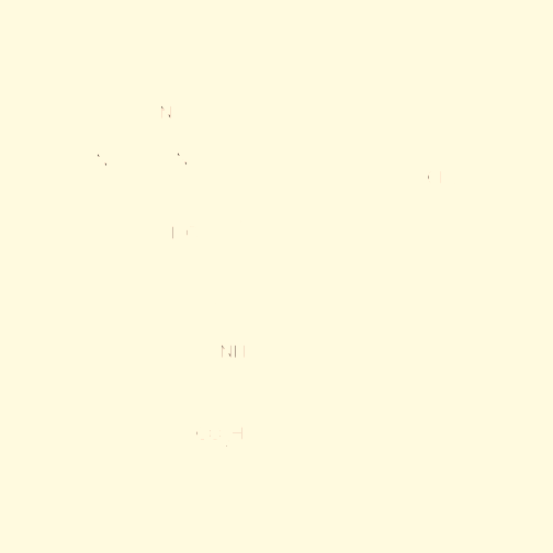 O=C(O)CNCCC(O)(Cn1cncn1)c1ccc(C(F)(F)F)cc1